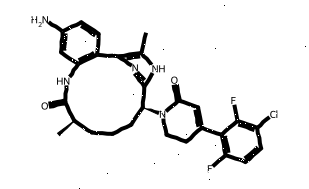 Cc1[nH]c2nc1-c1ccc(N)cc1NC(=O)[C@H](C)CCC[C@@H]2N1CCC(c2c(F)ccc(Cl)c2F)=CC1=O